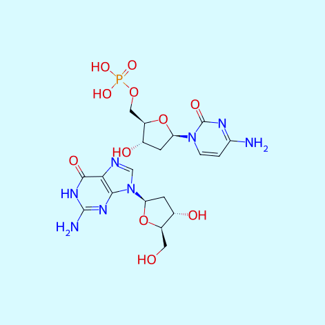 Nc1ccn([C@H]2C[C@H](O)[C@@H](COP(=O)(O)O)O2)c(=O)n1.Nc1nc2c(ncn2[C@H]2C[C@H](O)[C@@H](CO)O2)c(=O)[nH]1